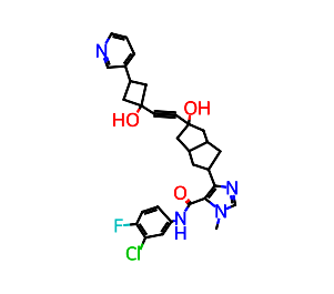 Cn1cnc(C2CC3CC(O)(C#CC4(O)CC(c5cccnc5)C4)CC3C2)c1C(=O)Nc1ccc(F)c(Cl)c1